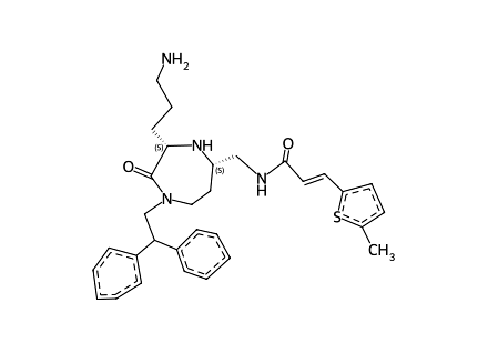 Cc1ccc(C=CC(=O)NC[C@@H]2CCN(CC(c3ccccc3)c3ccccc3)C(=O)[C@H](CCCN)N2)s1